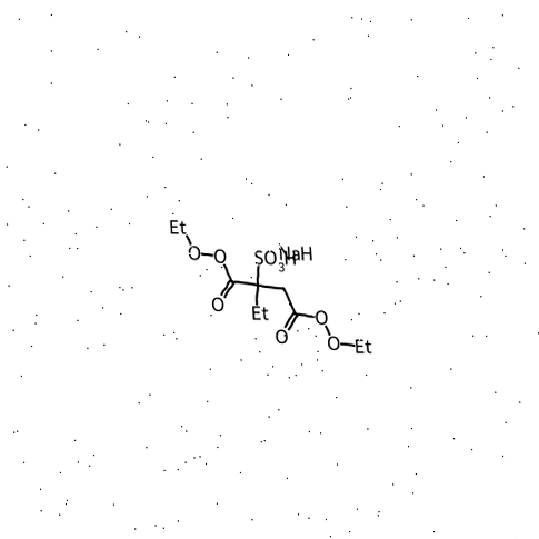 CCOOC(=O)CC(CC)(C(=O)OOCC)S(=O)(=O)O.[NaH]